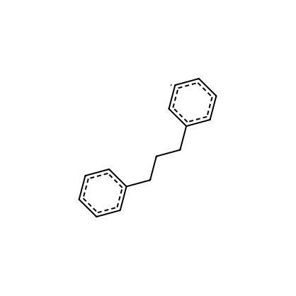 [c]1cccc(CCCc2ccccc2)c1